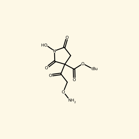 CC(C)(C)OC(=O)C1(C(=O)CON)CC(=O)N(O)C1=O